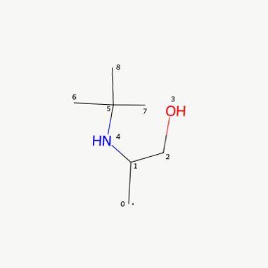 [CH2]C(CO)NC(C)(C)C